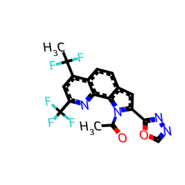 CC(=O)n1c(-c2nnco2)cc2ccc3c(C(C)(F)F)cc(C(F)(F)F)nc3c21